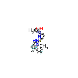 Cc1cc(F)ccc1-c1nc(NSc2cccc(N3CC(C)(O)C3)n2)ccc1C(F)(F)F